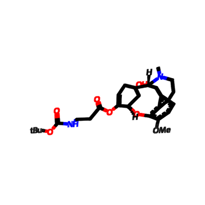 COc1ccc2c3c1O[C@@H]1C[C@@](O)(CC=C1OC(=O)CCNC(=O)OC(C)(C)C)[C@@H](C2)N(C)CCC3